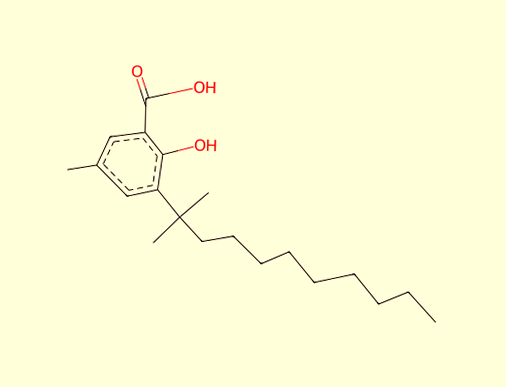 CCCCCCCCCC(C)(C)c1cc(C)cc(C(=O)O)c1O